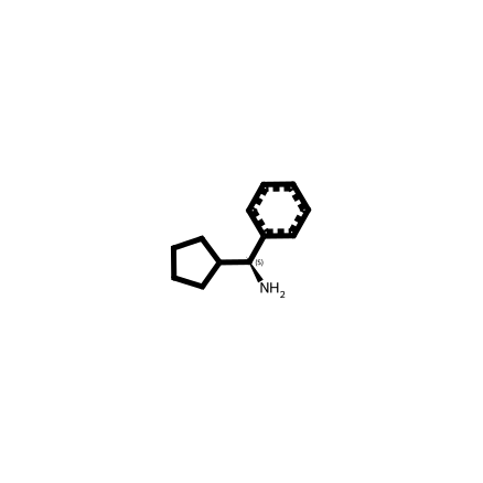 N[C@H](c1ccccc1)C1CCCC1